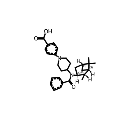 C[C@@H]1[C@@H](N(C(=O)c2ccccc2)C2CCN(c3ccc(C(=O)O)cc3)CC2)C[C@H]2C[C@@H]1C2(C)C